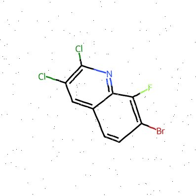 Fc1c(Br)ccc2cc(Cl)c(Cl)nc12